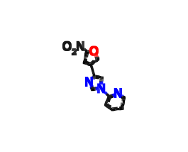 O=[N+]([O-])c1cc(-c2cn(-c3ccccn3)cn2)co1